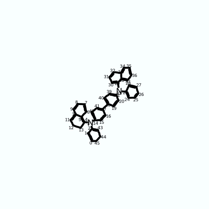 C1=CC(N(C2=c3ccccc3=CCC2)c2ccc(-c3ccc(N(c4ccccc4)c4cccc5ccccc45)cc3)cc2)=CCC1